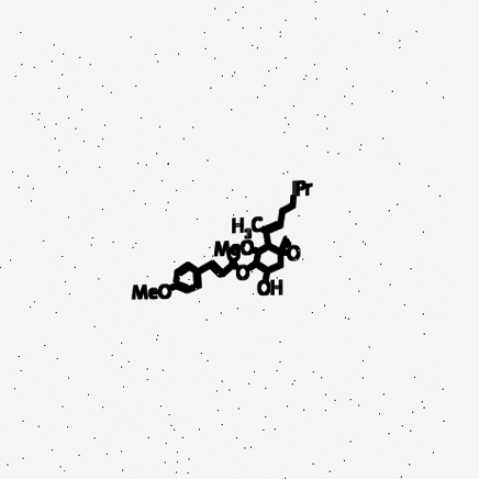 COc1ccc(C=CC(=O)OC2C(O)CC3(CO3)C(C(C)=CCCC(C)C)C2OC)cc1